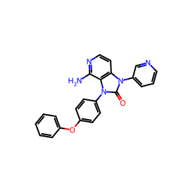 Nc1nccc2c1n(-c1ccc(Oc3ccccc3)cc1)c(=O)n2-c1cccnc1